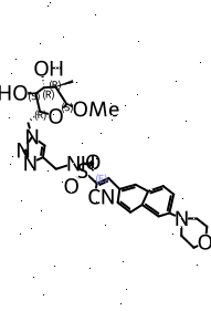 CO[C@H]1O[C@H](Cn2cc(CNS(=O)(=O)/C(C#N)=C/c3ccc4cc(N5CCOCC5)ccc4c3)nn2)[C@@H](O)[C@H](O)[C@H]1C